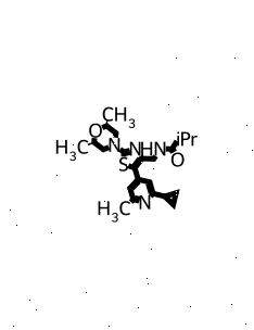 Cc1cc(-c2sc(N3C[C@@H](C)O[C@@H](C)C3)nc2CNC(=O)C(C)C)cc(C2CC2)n1